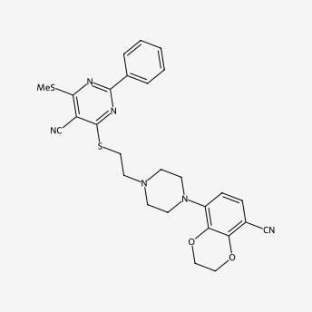 CSc1nc(-c2ccccc2)nc(SCCN2CCN(c3ccc(C#N)c4c3OCCO4)CC2)c1C#N